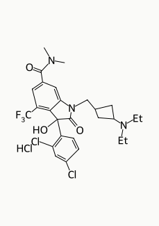 CCN(CC)C1CC(CN2C(=O)C(O)(c3ccc(Cl)cc3Cl)c3c2cc(C(=O)N(C)C)cc3C(F)(F)F)C1.Cl